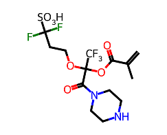 C=C(C)C(=O)OC(OCCC(F)(F)S(=O)(=O)O)(C(=O)N1CCNCC1)C(F)(F)F